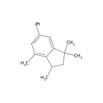 Cc1cc(C(C)C)cc2c1C(C)CC2(C)C